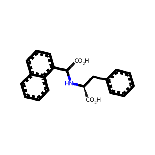 O=C(O)C(N[C@@H](Cc1ccccc1)C(=O)O)c1cccc2ccccc12